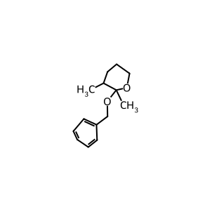 CC1CCCOC1(C)OCc1ccccc1